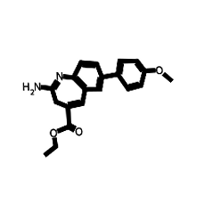 CCOC(=O)C1=Cc2cc(-c3ccc(OC)cc3)ccc2N=C(N)C1